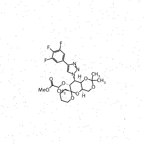 COC(=O)[C@@H](C)O[C@@H]1[C@@H](n2cc(-c3cc(F)c(F)c(F)c3)nn2)[C@H]2OC(C)(C)OC[C@H]2O[C@@]12CCCCO2